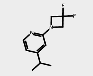 CC(C)c1ccnc(N2CC(F)(F)C2)c1